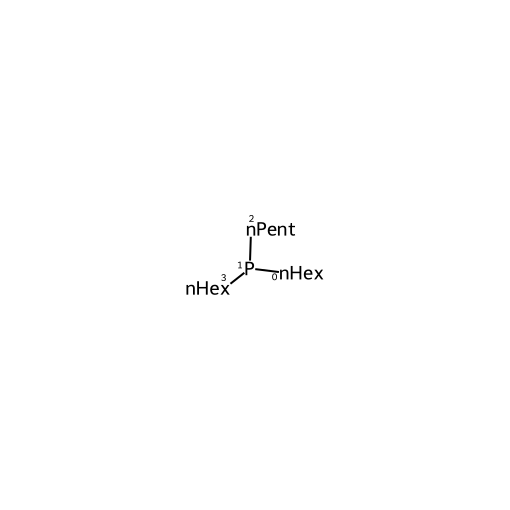 CCCCCCP(CCCCC)CCCCCC